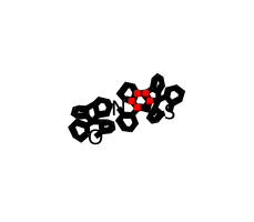 C1=CC(N(c2ccc3c(c2)C2(c4ccccc4Oc4ccccc42)c2ccccc2-3)c2cccc3c4c(ccc23)C2(c3ccccc3Sc3ccccc32)c2ccccc2-4)=C(c2ccccc2)CC1